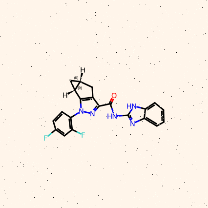 O=C(Nc1nc2ccccc2[nH]1)c1nn(-c2ccc(F)cc2F)c2c1C[C@H]1C[C@@H]21